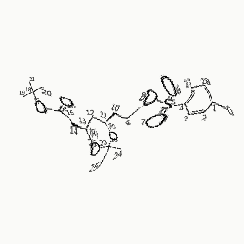 Cc1ccc(S(=O)(=O)OCC[C@@H]2C[C@H](CC(=O)OC(C)(C)C)OC(C)(C)O2)cc1